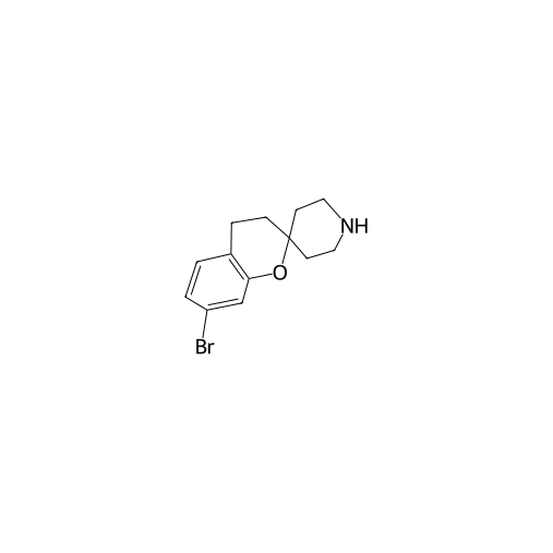 Brc1ccc2c(c1)OC1(CCNCC1)CC2